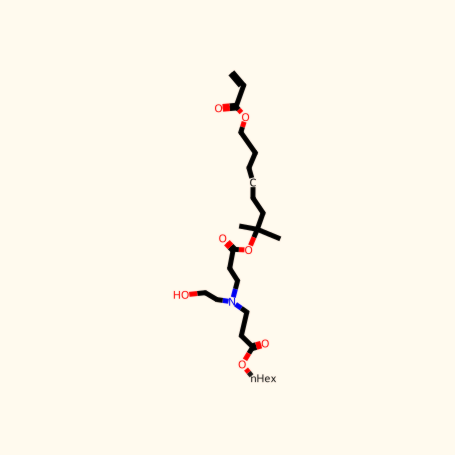 C=CC(=O)OCCCCCCC(C)(C)OC(=O)CCN(CCO)CCC(=O)OCCCCCC